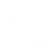 Cc1cccc(C(=O)SCCN(C)C)c1